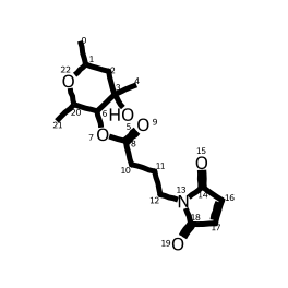 CC1CC(C)(O)C(OC(=O)CCCN2C(=O)C=CC2=O)C(C)O1